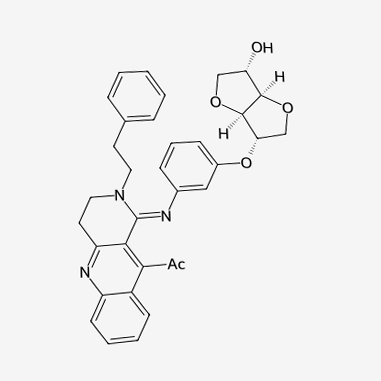 CC(=O)c1c2c(nc3ccccc13)CCN(CCc1ccccc1)/C2=N\c1cccc(O[C@H]2CO[C@H]3[C@@H]2OC[C@@H]3O)c1